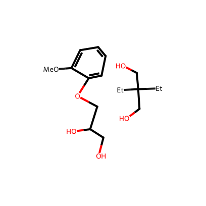 CCC(CC)(CO)CO.COc1ccccc1OCC(O)CO